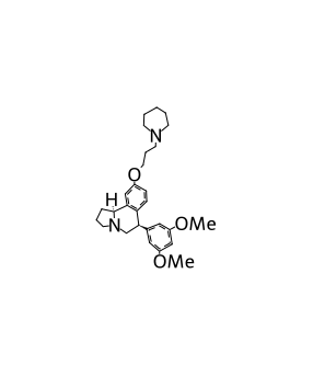 COc1cc(OC)cc([C@H]2CN3CCC[C@H]3c3cc(OCCCN4CCCCC4)ccc32)c1